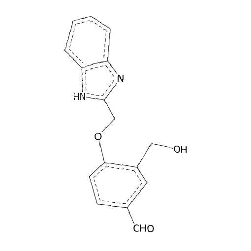 O=Cc1ccc(OCc2nc3ccccc3[nH]2)c(CO)c1